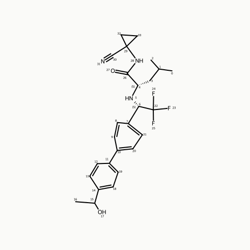 CC(C)C[C@H](N[C@@H](c1ccc(-c2ccc(C(C)O)cc2)cc1)C(F)(F)F)C(=O)NC1(C#N)CC1